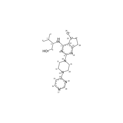 CC(C)C(CO)Nc1nc(N2CCN(c3ccncn3)CC2)nc2c1[S+]([O-])CC2